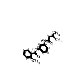 Cc1ccccc1C(=O)Nc1cccc(NC(=O)CC(C)C)c1